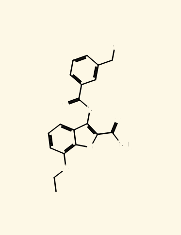 CCOc1cccc2c(NC(=O)c3cccc(CCl)c3)c(C(N)=O)oc12